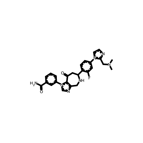 CN(C)Cc1nccn1-c1ccc(C2CC(=O)c3c(ncn3-c3cccc(C(N)=O)c3)CN2)c(F)c1